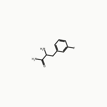 NC(=O)C(N)Cc1cccc(F)c1